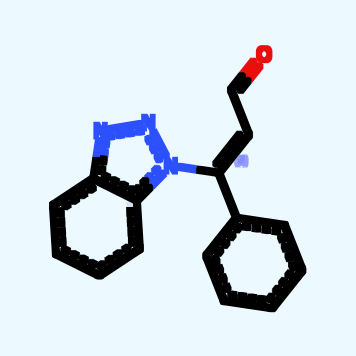 O=C/C=C(/c1ccccc1)n1nnc2ccccc21